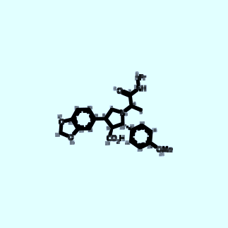 CCCNC(=O)C(C)N1CC(c2ccc3c(c2)OCO3)[C@H](C(=O)O)[C@H]1c1ccc(OC)cc1